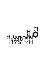 CN1CN(CC(=O)NNc2cccc(Cl)c2)CSC1S